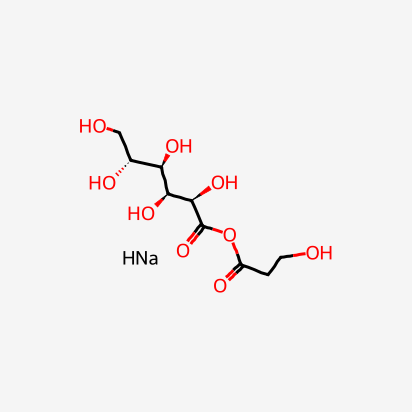 O=C(CCO)OC(=O)[C@H](O)[C@@H](O)[C@H](O)[C@H](O)CO.[NaH]